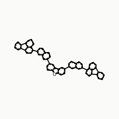 c1ccc2c(c1)-c1cccc3c(-c4ccc5ccc(-c6ccc7oc8ccc(-c9ccc%10ccc(-c%11ccc%12c%13c(cccc%11%13)-c%11ccccc%11-%12)cc%10c9)cc8c7c6)cc5c4)ccc-2c13